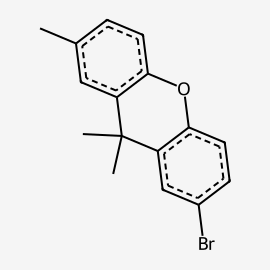 Cc1ccc2c(c1)C(C)(C)c1cc(Br)ccc1O2